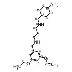 CCOc1cc(CNCCCNCC2CCC(N)CC2)cc(OCC)c1